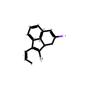 C/C=C\C1=C(CC)C2CC(I)=Cc3cccc1c32